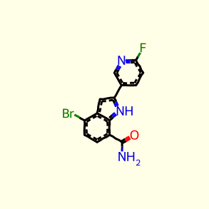 NC(=O)c1ccc(Br)c2cc(-c3ccc(F)nc3)[nH]c12